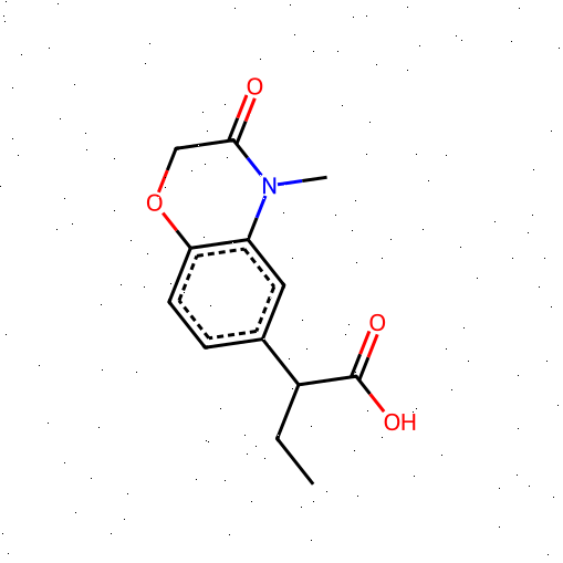 CCC(C(=O)O)c1ccc2c(c1)N(C)C(=O)CO2